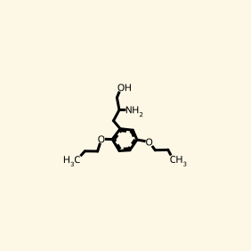 CCCOc1ccc(OCCC)c(CC(N)CO)c1